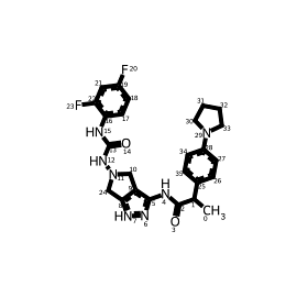 CC(C(=O)Nc1n[nH]c2c1CN(NC(=O)Nc1ccc(F)cc1F)C2)c1ccc(N2CCCC2)cc1